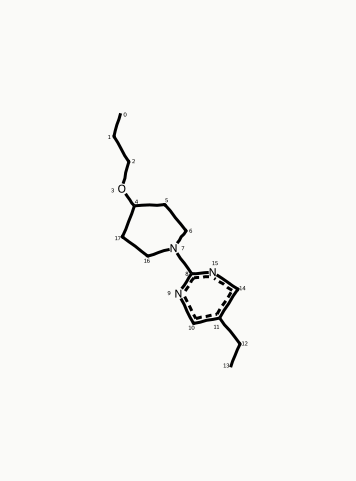 CCCOC1CCN(c2ncc(CC)cn2)CC1